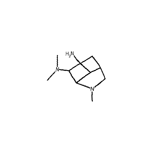 CN(C)C1C2C3C(CN2C)CC31N